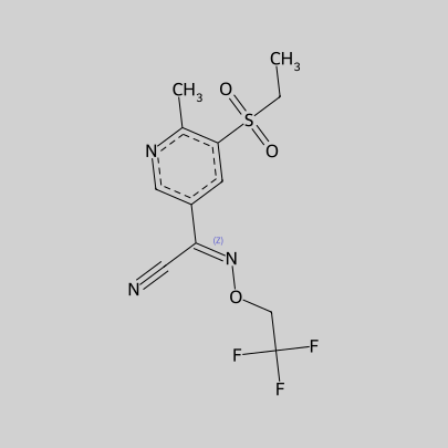 CCS(=O)(=O)c1cc(/C(C#N)=N/OCC(F)(F)F)cnc1C